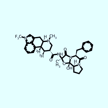 [2H][C@@H]1[C@@H](C(=O)N[C@]2(C)O[C@@]3(O)[C@@H]4CCCN4C(=O)[C@H](Cc4ccccc4)N3C2=O)CN(C)[C@@H]2Cc3cn(C(F)(F)F)c4cccc(c34)[C@@]12[2H]